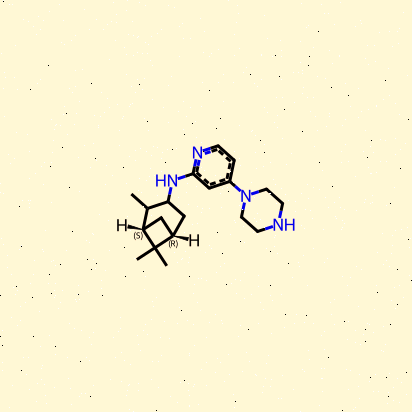 CC1C(Nc2cc(N3CCNCC3)ccn2)C[C@H]2C[C@@H]1C2(C)C